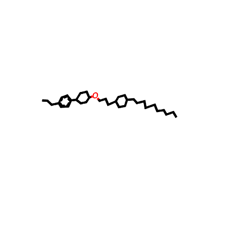 CCCCCCCCCCC1CCC(CCCOC2CCC(c3ccc(CCC)cc3)CC2)CC1